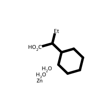 CCC(C(=O)O)C1CCCCC1.O.O.[Zn]